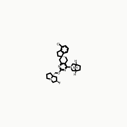 F[C@H]1CN2CCC[C@@]2(COc2nc3c(c(N4C[C@H]5CC[C@@H](C4)N5)n2)CC[C@@]2(CCc4c(Cl)cccc42)C3)C1